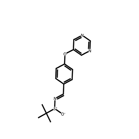 CC(C)(C)[S+]([O-])/N=C/c1ccc(Oc2cncnc2)cc1